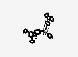 c1ccc(-c2cc(-c3ccccc3)c3sc4cc(-c5nc(-c6ccccc6)nc(-c6ccc(-n7c8ccccc8c8ccccc87)cc6)n5)ccc4c3c2)cc1